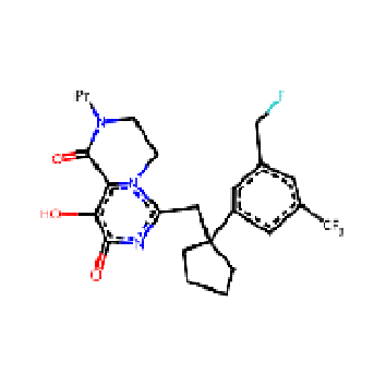 CC(C)N1CCn2c(CC3(c4cc(CF)cc(C(F)(F)F)c4)CCCC3)nc(=O)c(O)c2C1=O